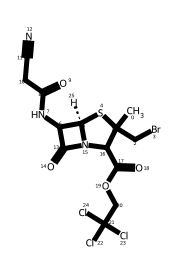 CC1(CBr)S[C@@H]2C(NC(=O)CC#N)C(=O)N2C1C(=O)OCC(Cl)(Cl)Cl